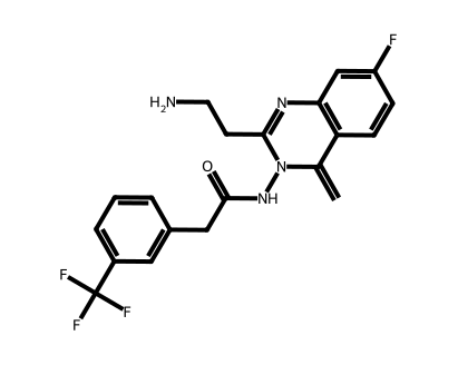 C=C1c2ccc(F)cc2N=C(CCN)N1NC(=O)Cc1cccc(C(F)(F)F)c1